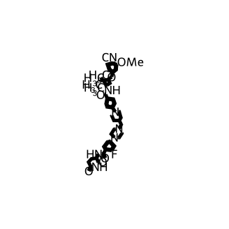 COc1cc(OC2(C)CC(C)(NC(=O)c3ccc(N4CCC(CN5CCN(c6ccc(C(=O)NC7CCC(=O)NC7=O)c(F)c6)CC5)CC4)cc3)C2(C)C)ccc1C#N